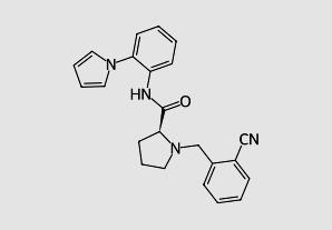 N#Cc1ccccc1CN1CCC[C@H]1C(=O)Nc1ccccc1-n1cccc1